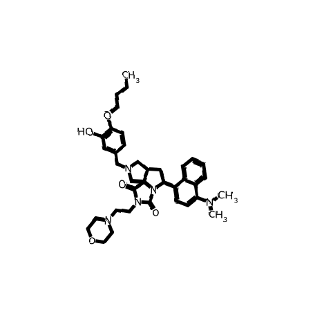 CCCCOc1ccc(CN2CC3CC(c4ccc(N(C)C)c5ccccc45)N4C(=O)N(CCN5CCOCC5)C(=O)C34C2)cc1O